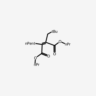 CCCCC/C(C(=O)OCCC)=C(\CC(C)(C)C)C(=O)OCCC